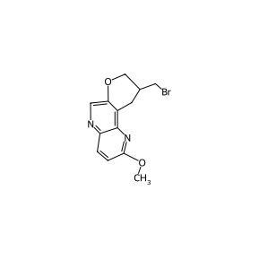 COc1ccc2ncc3c(c2n1)CC(CBr)CO3